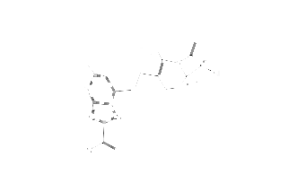 Cc1cc(SCC2=C(C(=O)O)N3C(=O)[C@@H](N)[C@H]3SC2)n2nc(C(N)=O)nc2n1